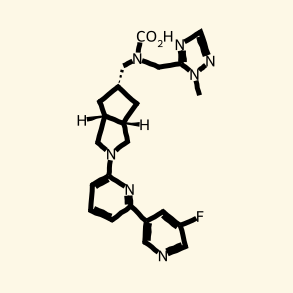 Cn1ncnc1CN(C[C@@H]1C[C@@H]2CN(c3cccc(-c4cncc(F)c4)n3)C[C@@H]2C1)C(=O)O